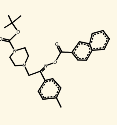 Cc1ccc(/C(CN2CCN(C(=O)OC(C)(C)C)CC2)=N\OC(=O)c2ccc3ccccc3c2)cc1